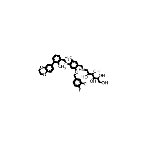 Cc1cc(CNCC(O)C(O)C(O)C(O)CO)c(OCc2ccc(F)c(Cl)c2)cc1OCc1cccc(-c2ccc3c(c2)OCCO3)c1C